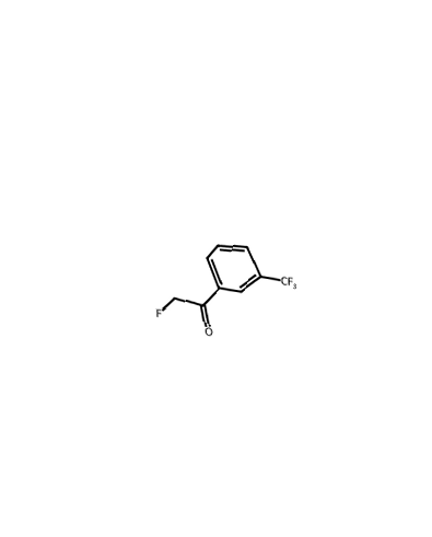 O=C(CF)c1cccc(C(F)(F)F)c1